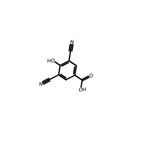 N#Cc1cc(C(=O)O)cc(C#N)c1O